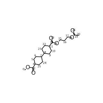 COC(=O)C1CCC(C2CCC(C(=O)OCCCOC(C)=O)CC2)CC1